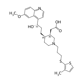 COc1ccc2nccc([C@@H](O)CC[C@@H]3CCN(CCCSc4sccc4C)C[C@@H]3CC(=O)O)c2c1